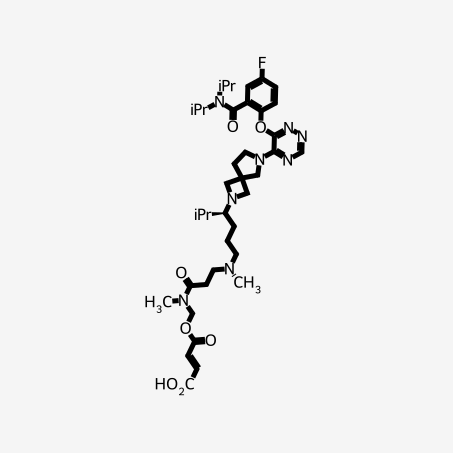 CC(C)[C@H](CCCN(C)CCC(=O)N(C)COC(=O)/C=C/C(=O)O)N1CC2(CCN(c3ncnnc3Oc3ccc(F)cc3C(=O)N(C(C)C)C(C)C)C2)C1